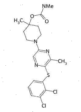 CNC(=O)OC1(C)CCN(c2cnc(Sc3cccc(Cl)c3Cl)c(C)n2)CC1